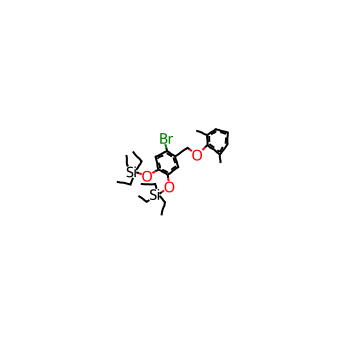 CC[Si](CC)(CC)Oc1cc(Br)c(COc2c(C)cccc2C)cc1O[Si](CC)(CC)CC